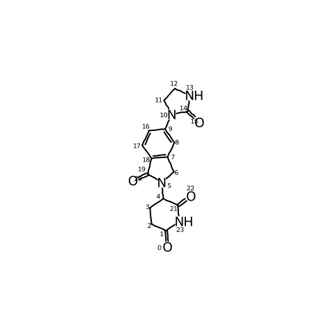 O=C1CCC(N2Cc3cc(N4CCNC4=O)ccc3C2=O)C(=O)N1